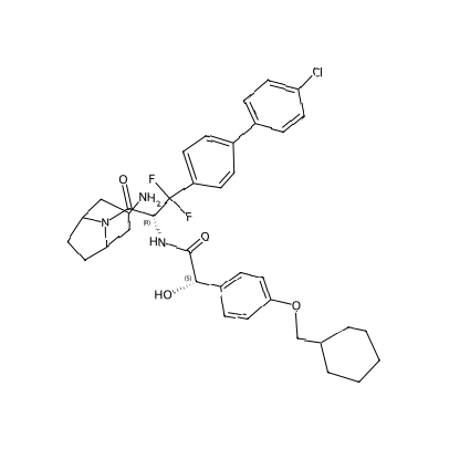 NC1CC2CCC(C1)N2C(=O)[C@@H](NC(=O)[C@@H](O)c1ccc(OCC2CCCCC2)cc1)C(F)(F)c1ccc(-c2ccc(Cl)cc2)cc1